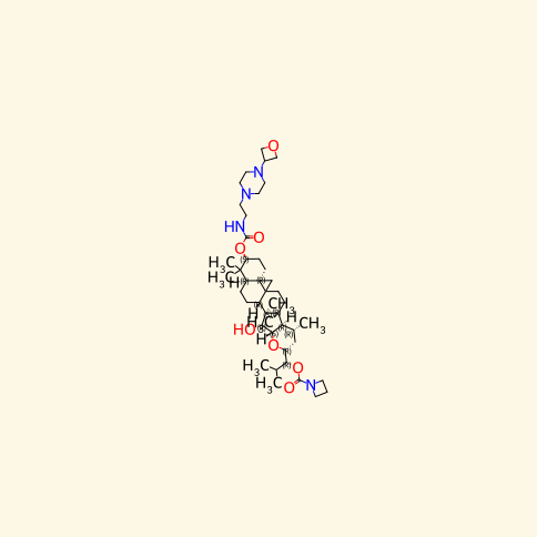 CC(C)[C@@H](OC(=O)N1CCC1)[C@H]1C[C@@H](C)[C@H]2[C@H](O1)[C@H](O)[C@@]1(C)[C@@H]3CC[C@H]4C(C)(C)[C@@H](OC(=O)NCCN5CCN(C6COC6)CC5)CC[C@@]45CC35CC[C@]21C